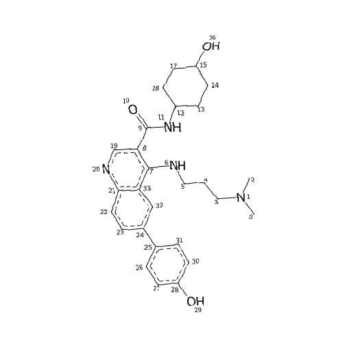 CN(C)CCCNc1c(C(=O)NC2CCC(O)CC2)cnc2ccc(-c3ccc(O)cc3)cc12